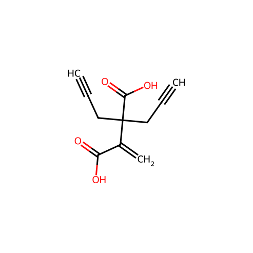 C#CCC(CC#C)(C(=C)C(=O)O)C(=O)O